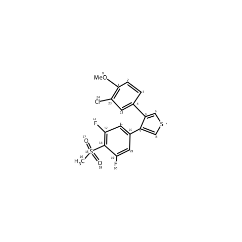 COc1ccc(-c2cscc2-c2cc(F)c(S(C)(=O)=O)c(F)c2)cc1Cl